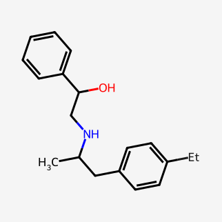 CCc1ccc(CC(C)NCC(O)c2ccccc2)cc1